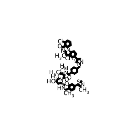 Cc1ncsc1-c1ccc([C@H](C)NC(=O)[C@@H]2C[C@@H](O)CN2C(=O)[C@@H](NC(=O)C2CCC(Cn3cc(-c4ccc5c(c4)C(C)(C)c4nc(=O)c6c(Cl)cccc6n4-5)cn3)CC2)C(C)(C)C)cc1